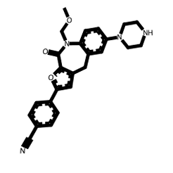 COCN1C(=O)c2oc(-c3ccc(C#N)cc3)cc2Cc2cc(N3CCNCC3)ccc21